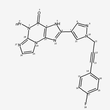 CCCn1c(=O)c2[nH]c(-c3cnn(CC#Cc4ccc(F)cc4)c3)nc2n2ccnc12